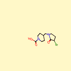 O=C(O)N1CCC(CN2CCC(Br)C2=O)CC1